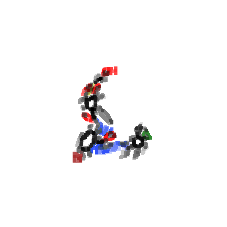 O=C(Nc1ccc(Br)cc1C(=O)N/N=C/c1ccc(Cl)c(C(F)(F)F)c1)c1cccc(CS(=O)(=O)CCO)c1